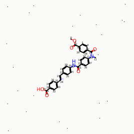 COC(=O)c1ccc(C(=O)N(C)c2ccc(C(=O)Nc3ccc(/C=C/c4ccc(C(=O)O)cc4)cc3)cc2)cc1